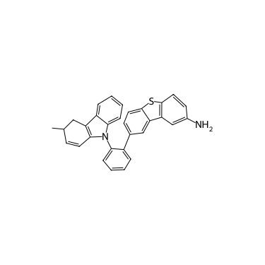 CC1C=Cc2c(c3ccccc3n2-c2ccccc2-c2ccc3sc4ccc(N)cc4c3c2)C1